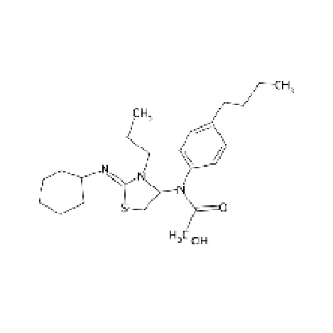 CCCCc1ccc(N(C(C)=O)C2CSC(=NC3CCCCC3)N2CCC)cc1.Cl